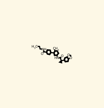 CCCNC(=O)c1ccc(-c2cc(NC(=O)C3(c4ccc5c(c4)OCO5)CC3)ccc2C)cc1